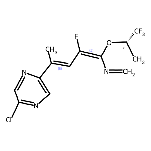 C=N/C(O[C@@H](C)C(F)(F)F)=C(F)\C=C(/C)c1cnc(Cl)cn1